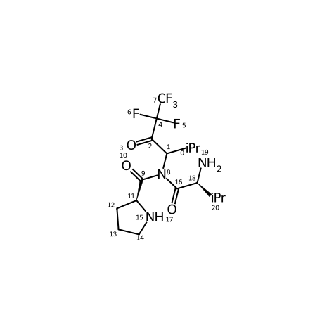 CC(C)C(C(=O)C(F)(F)C(F)(F)F)N(C(=O)[C@@H]1CCCN1)C(=O)[C@@H](N)C(C)C